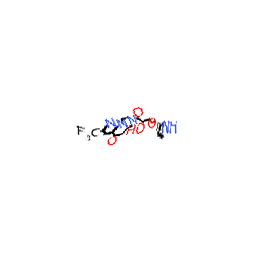 O=C1CC2CN(C(=O)C(O)COC[C@H]3CCN3)CCN2c2ncc(C(F)(F)F)cc21